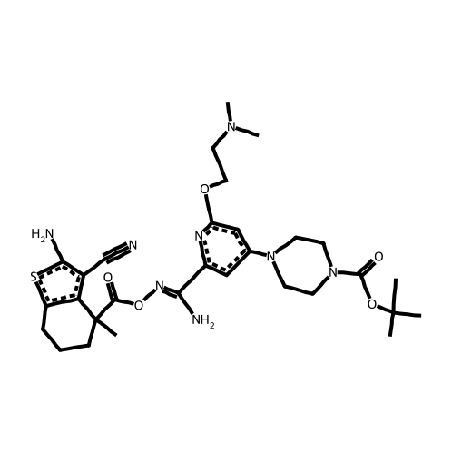 CN(C)CCOc1cc(N2CCN(C(=O)OC(C)(C)C)CC2)cc(/C(N)=N/OC(=O)C2(C)CCCc3sc(N)c(C#N)c32)n1